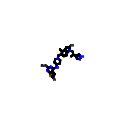 CCc1cc2c(NC3CCN(Cc4ccc5c(cc(C#N)n5CC(C)c5cn[nH]c5)c4C)CC3)nc(NC)nc2s1